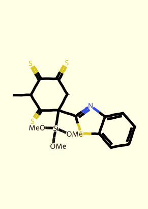 CO[Si](OC)(OC)C1(c2nc3ccccc3s2)[CH]C(=S)C(=S)C(C)C1=S